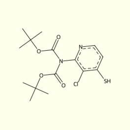 CC(C)(C)OC(=O)N(C(=O)OC(C)(C)C)c1nccc(S)c1Cl